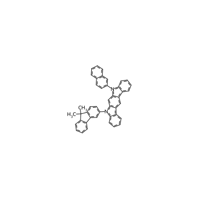 CC1(C)c2ccccc2-c2cc(-n3c4ccccc4c4cc5c6ccccc6n(-c6ccc7ccccc7c6)c5cc43)ccc21